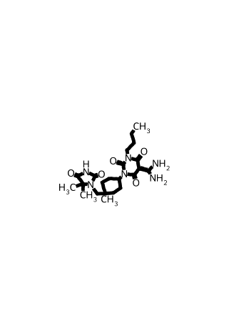 CCCCN1C(=O)C(=C(N)N)C(=O)N(C2CCC(C)(CN3C(=O)NC(=O)C3(C)C)CC2)C1=O